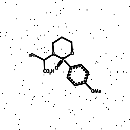 CCCC(C(=O)O)N1CCCOP1(=O)c1ccc(OC)cc1